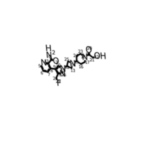 NC(=O)c1ncccc1-c1cn(C2CN(C3CCN(C(=O)CO)CC3)C2)nc1CF